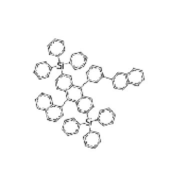 c1ccc([Si](c2ccccc2)(c2ccccc2)c2ccc3c(-c4cccc5ccccc45)c4cc([Si](c5ccccc5)(c5ccccc5)c5ccccc5)ccc4c(-c4cccc(-c5ccc6ccccc6c5)c4)c3c2)cc1